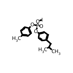 Cc1ccc(OP(=O)(OI)Oc2ccc(CC(C)C)cc2)cc1